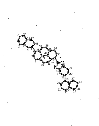 c1ccc2cc(-c3ccc4ccc5c(-c6nc7cc(-c8cccc9ccccc89)ccc7o6)ccc6ccc3c4c65)ccc2c1